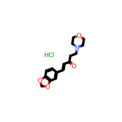 Cl.O=C(/C=C/c1ccc2c(c1)OCO2)CCN1CCOCC1